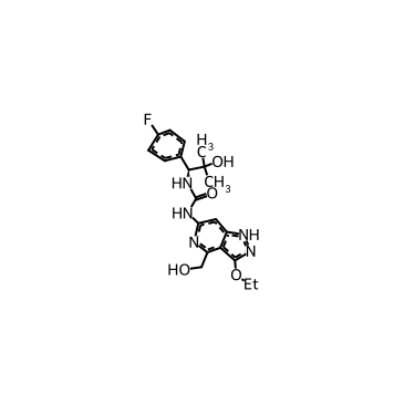 CCOc1n[nH]c2cc(NC(=O)N[C@@H](c3ccc(F)cc3)C(C)(C)O)nc(CO)c12